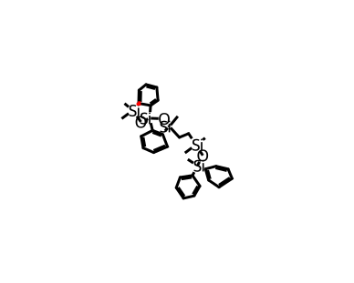 C[Si](C)(C)O[Si](O[Si](C)(C)CC[Si](C)(C)O[Si](C)(c1ccccc1)c1ccccc1)(c1ccccc1)c1ccccc1